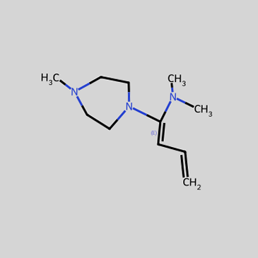 C=C/C=C(\N(C)C)N1CCN(C)CC1